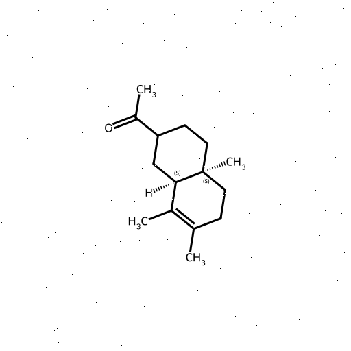 CC(=O)C1CC[C@@]2(C)CCC(C)=C(C)[C@H]2C1